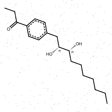 CCCCCCC[C@@H](O)[C@H](O)Cc1ccc(C(=O)CC)cc1